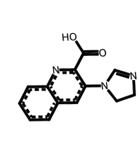 O=C(O)c1nc2ccccc2cc1N1C=NCC1